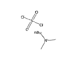 CCCCN(C)C.O=S(=O)(Cl)Cl